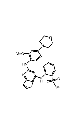 COc1cc(N2CCOCC2)ccc1Nc1nc(Nc2ccccc2S(=O)(=O)C(C)C)c2sccc2n1